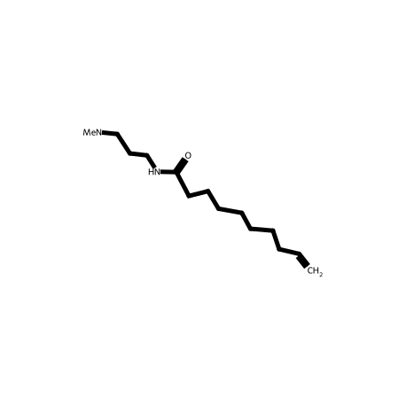 C=CCCCCCCCC(=O)NCCCNC